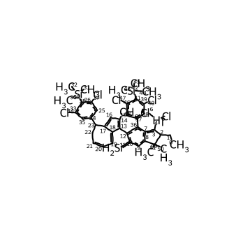 CCC1[C]([Hf]([Cl])[Cl])=c2c(cc(=[SiH2])c(C3=C(C)C=C4C3=CC=CCC4c3cc(Cl)c([Si](C)(C)C)c(Cl)c3)c2-c2cc(Cl)c([Si](C)(C)C)c(Cl)c2)C1(C)C